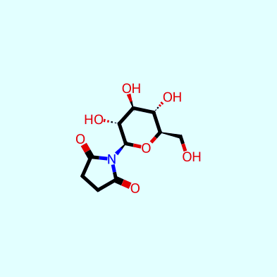 O=C1CCC(=O)N1[C@@H]1O[C@H](CO)[C@@H](O)[C@H](O)[C@H]1O